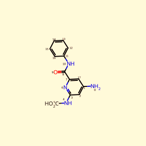 Nc1cc(NC(=O)O)nc(C(=O)Nc2ccccc2)c1